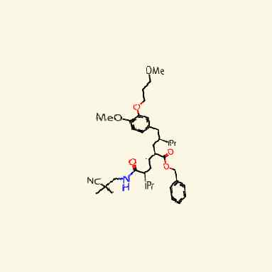 COCCCOc1cc(C[C@H](C[C@H]([CH]C[C@H](C(=O)NCC(C)(C)C#N)C(C)C)C(=O)OCc2ccccc2)C(C)C)ccc1OC